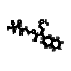 CCC=C(C(=S)OCCNC(=O)C(F)(F)F)c1ccc2ccccc2c1